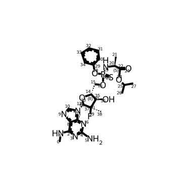 CNc1nc(N)nc2c1ncn2[C@@H]1O[C@H](CO[P@@](=S)(N[C@@H](C)C(=O)OC(C)C)Oc2ccccc2)[C@@H](O)[C@@]1(C)F